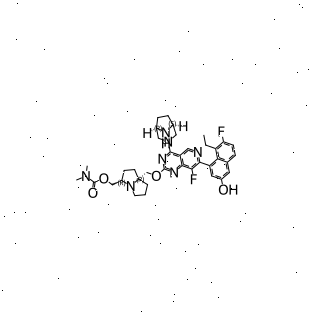 CCc1c(F)ccc2cc(O)cc(-c3ncc4c(N5C[C@H]6CC[C@@H](C5)N6)nc(OC[C@]56CCCN5[C@@H](COC(=O)N(C)C)CC6)nc4c3F)c12